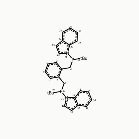 CC(C)(C)P(Cc1ccccc1CP(n1ccc2ccccc21)C(C)(C)C)n1ccc2ccccc21